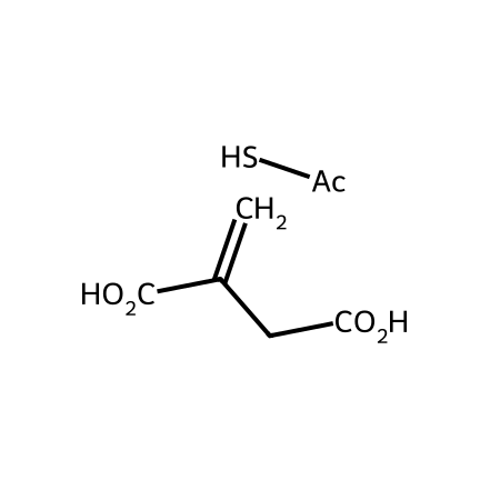 C=C(CC(=O)O)C(=O)O.CC(=O)S